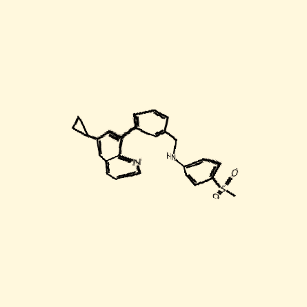 CS(=O)(=O)c1ccc(NCc2cccc(-c3cc(C4CC4)cc4cccnc34)c2)cc1